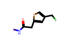 O=C(Cc1cc(CF)cs1)NI